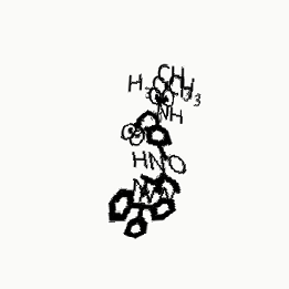 CC(C)(C)OC(=O)N[C@H]1CCS(=O)(=O)c2cc(C(=O)Nc3ccnc4c3cnn4C(c3ccccc3)(c3ccccc3)c3ccccc3)ccc21